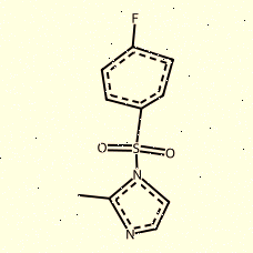 Cc1nccn1S(=O)(=O)c1ccc(F)cc1